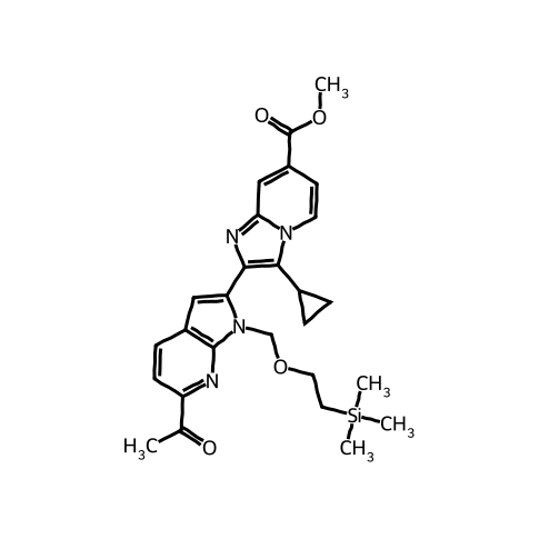 COC(=O)c1ccn2c(C3CC3)c(-c3cc4ccc(C(C)=O)nc4n3COCC[Si](C)(C)C)nc2c1